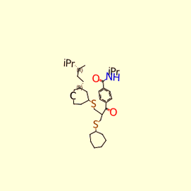 CC(C)NC(=O)c1ccc(C(=O)C(CSC2CCCCCC2)CSC2CCCC[C@H](CC[C@@H](C)C(C)C)C2)cc1